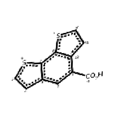 O=C(O)c1cc2ccsc2c2sccc12